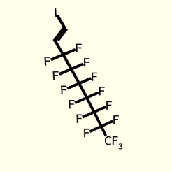 FC(F)(F)C(F)(F)C(F)(F)C(F)(F)C(F)(F)C(F)(F)C(F)(F)C=CI